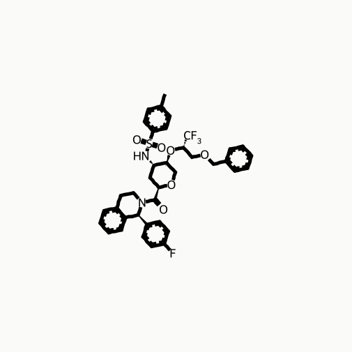 Cc1ccc(S(=O)(=O)N[C@H]2C[C@H](C(=O)N3CCc4ccccc4[C@@H]3c3ccc(F)cc3)OC[C@@H]2O[C@@H](COCc2ccccc2)C(F)(F)F)cc1